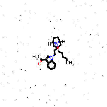 CCCCC[C@@H]1C[C@H]2CC[C@@H](C1)N2CCCn1cc(C(C)=O)c2ccccc21